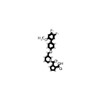 COc1cc(F)c(F)cc1-c1ccc(OCC2CCCN(C(=O)C3CCCC3C(=O)O)C2)cc1